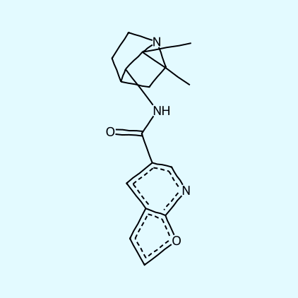 CC1(C)C(NC(=O)c2cnc3occc3c2)C2CCN1CC2